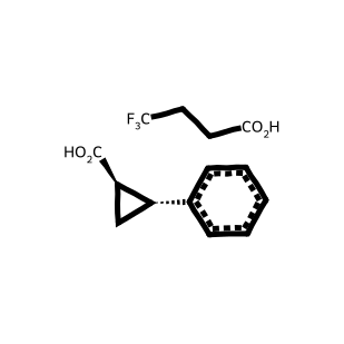 O=C(O)CCC(F)(F)F.O=C(O)[C@@H]1C[C@H]1c1ccccc1